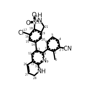 Cc1c(C#N)cccc1-c1nc2c(cc1-c1cc(Cl)c3c(c1)CNS3(=O)=O)C=CCN2